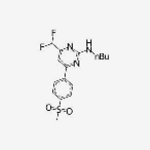 CCCCNc1nc(-c2ccc(S(C)(=O)=O)cc2)cc(C(F)F)n1